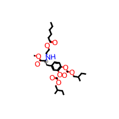 CCCCCC(=O)OCCN[C@@H](Cc1ccc(OC(=O)OCC(C)CC)c(OC(=O)OCC(C)CC)c1)C(=O)OC